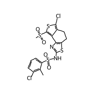 Cc1c(Cl)cccc1S(=O)(=O)Nc1nc2c(s1)CCc1c(Cl)sc(S(C)(=O)=O)c1-2